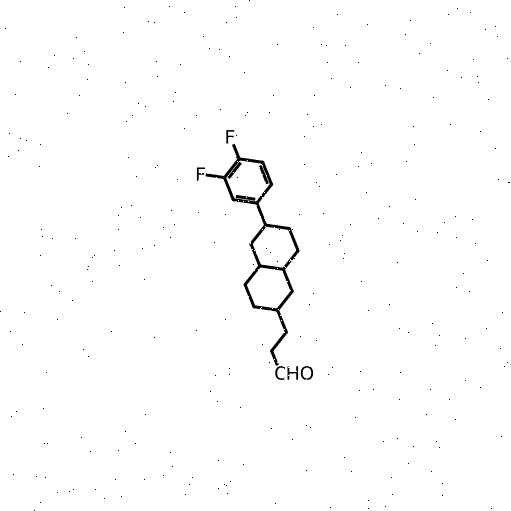 O=CCCC1CCC2CC(c3ccc(F)c(F)c3)CCC2C1